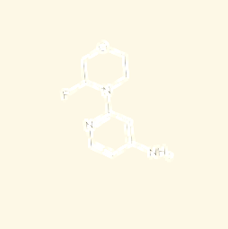 Nc1ccnc(N2CCOCC2F)c1